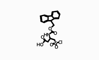 O=C(O)CC(CS(=O)(=O)Cl)NC(=O)OCC1c2ccccc2-c2ccccc21